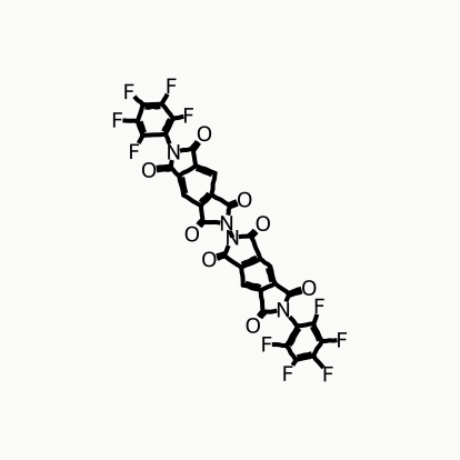 O=c1c2cc3c(=O)n(-n4c(=O)c5cc6c(=O)n(-c7c(F)c(F)c(F)c(F)c7F)c(=O)c6cc5c4=O)c(=O)c3cc2c(=O)n1-c1c(F)c(F)c(F)c(F)c1F